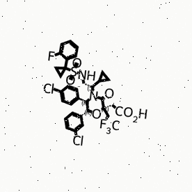 O=C(O)C[C@]1(CC(F)(F)F)O[C@H](c2cccc(Cl)c2)[C@@H](c2ccc(Cl)cc2)N([C@H](CNS(=O)(=O)C2(c3ccccc3F)CC2)C2CC2)C1=O